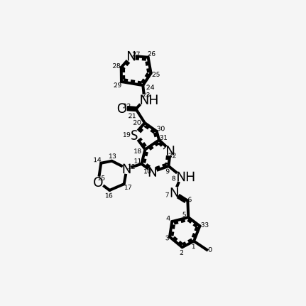 Cc1cccc(/C=N/Nc2nc(N3CCOCC3)c3sc(C(=O)Nc4ccncc4)cc3n2)c1